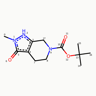 Cn1[nH]c2c(c1=O)CCN(C(=O)OC(C)(C)C)C2